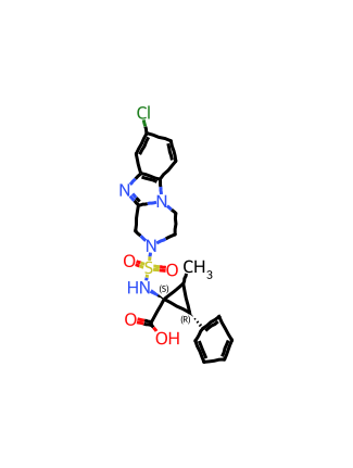 CC1[C@H](c2ccccc2)[C@]1(NS(=O)(=O)N1CCn2c(nc3cc(Cl)ccc32)C1)C(=O)O